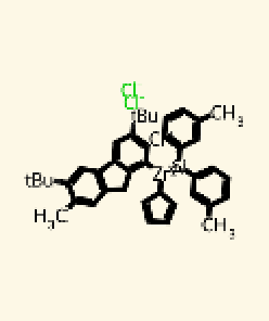 Cc1cccc([Si](c2cccc(C)c2)=[Zr+2]([c]2c(C)c(C(C)(C)C)cc3c2Cc2cc(C)c(C(C)(C)C)cc2-3)[CH]2C=CC=C2)c1.[Cl-].[Cl-]